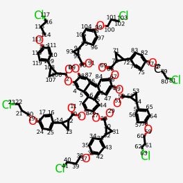 O=C(Oc1cc2c3cc(OC(=O)C4CC4c4ccc(OCCCCl)cc4)c(OC(=O)C4CC4c4ccc(OCCCCl)cc4)cc3c3cc(OC(=O)C4CC4c4ccc(OCCCCl)cc4)c(OC(=O)C4CC4c4ccc(OCCCCl)cc4)cc3c2cc1OC(=O)C1CC1c1ccc(OCCCCl)cc1)C1CC1c1ccc(OCCCCl)cc1